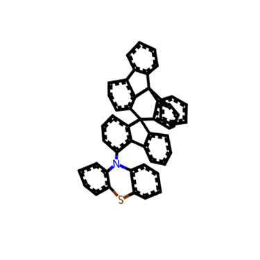 c1ccc(C23c4ccccc4-c4cccc(c42)C2(c4ccccc4-c4c(N5c6ccccc6Sc6ccccc65)cccc42)c2ccccc23)cc1